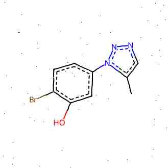 Cc1cnnn1-c1ccc(Br)c(O)c1